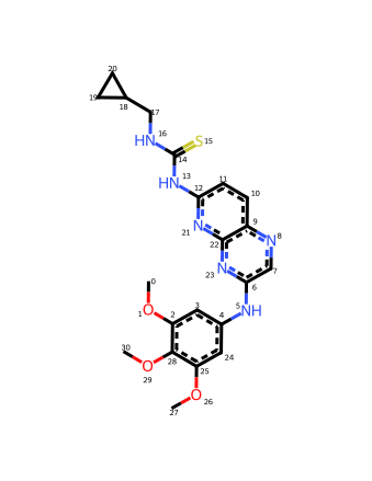 COc1cc(Nc2cnc3ccc(NC(=S)NCC4CC4)nc3n2)cc(OC)c1OC